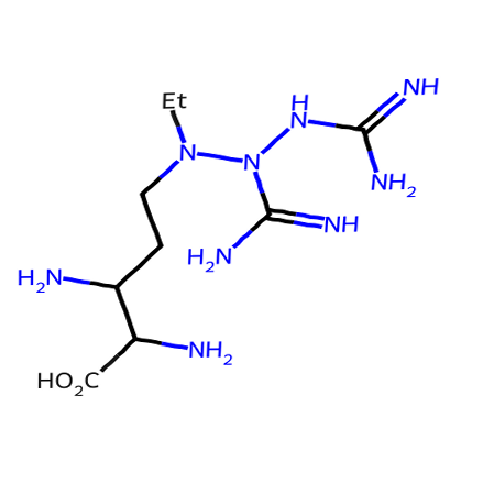 CCN(CCC(N)C(N)C(=O)O)N(NC(=N)N)C(=N)N